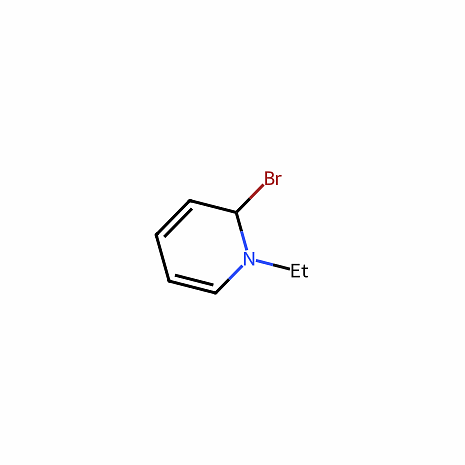 CCN1C=CC=CC1Br